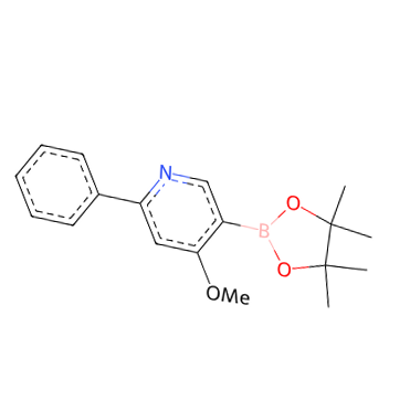 COc1cc(-c2ccccc2)ncc1B1OC(C)(C)C(C)(C)O1